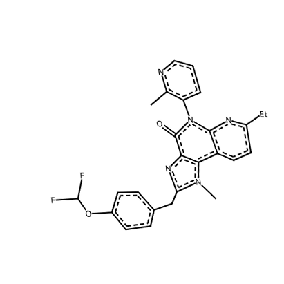 CCc1ccc2c3c(nc(Cc4ccc(OC(F)F)cc4)n3C)c(=O)n(-c3cccnc3C)c2n1